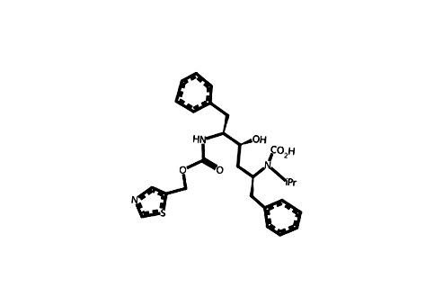 CC(C)N(C(=O)O)[C@@H](Cc1ccccc1)C[C@H](O)[C@H](Cc1ccccc1)NC(=O)OCc1cncs1